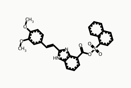 COc1ccc(/C=C/c2nc3c(C(=O)OS(=O)(=O)c4cccc5ccccc45)cccc3[nH]2)cc1OC